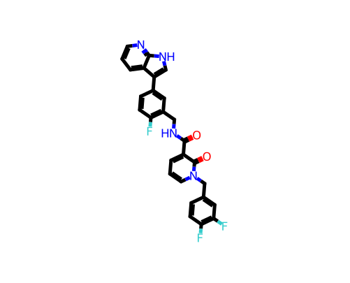 O=C(NCc1cc(-c2c[nH]c3ncccc23)ccc1F)c1cccn(Cc2ccc(F)c(F)c2)c1=O